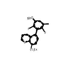 CCOC(=O)c1ccc(-c2c(F)c(C)cc(OC)c2F)c2cccnc12